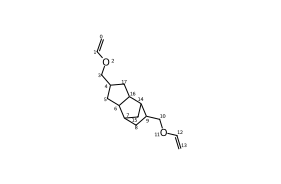 C=COCC1CC2C3CC(COC=C)C(C3)C2C1